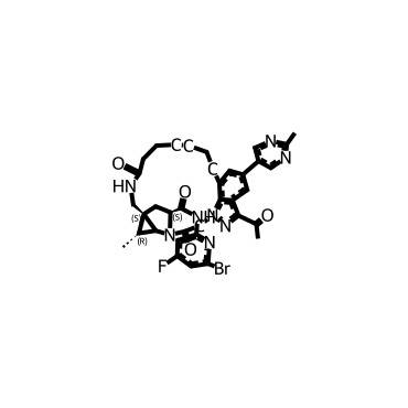 CC(=O)c1nn2c3c(cc(-c4cnc(C)nc4)cc13)CCCCCCC(=O)NC[C@@]13C[C@@H](C(=O)Nc4cc(F)cc(Br)n4)N(C(=O)C2)C1[C@@H]3C